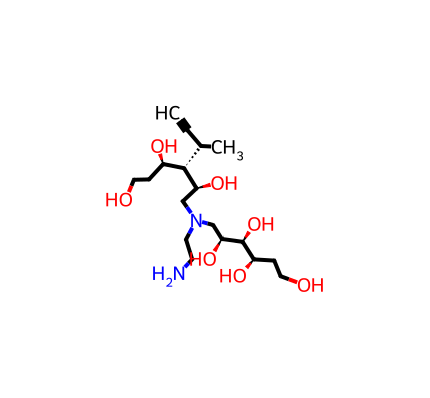 C#CC(C)[C@@H]([C@H](O)CCO)[C@@H](O)CN(CCN)C[C@H](O)[C@@H](O)[C@H](O)CCO